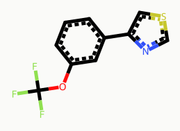 FC(F)(F)Oc1cccc(-c2cscn2)c1